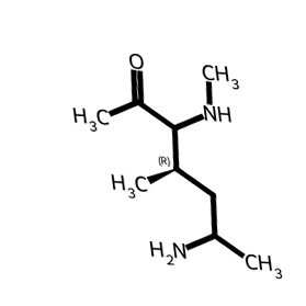 CNC(C(C)=O)[C@H](C)CC(C)N